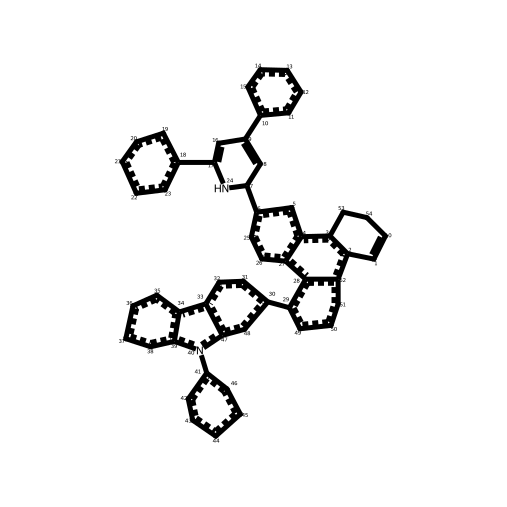 C1=Cc2c(c3cc(C4C=C(c5ccccc5)C=C(c5ccccc5)N4)ccc3c3c(-c4ccc5c6ccccc6n(-c6ccccc6)c5c4)cccc23)CC1